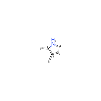 C=c1cc[nH]c1=C